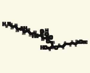 CCCCCCCCCCCCCCCCOC(CO)COP(=O)(O)CC(=O)NCCCCNCCCN